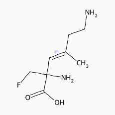 C/C(=C\C(N)(CF)C(=O)O)CCN